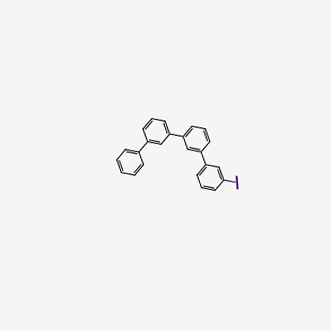 Ic1cccc(-c2cccc(-c3cccc(-c4ccccc4)c3)c2)c1